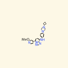 COc1cc(-c2ccc(Nc3ccc(N4CCN(C5CCC5)CC4)cc3)c3ncnn23)ccn1